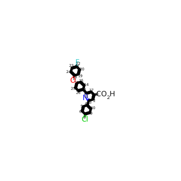 O=C(O)c1cc(-c2ccc(Cl)cc2)nc(-c2ccc(Oc3ccc(F)cc3)cc2)c1